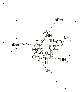 CCCCCCCCCCCCCCCC(=O)NCCSC[C@H](NC(=O)CCCCCCCCCCCCCCC)C(=O)N[C@H](CO)C(=O)N[C@@H](CCCCN)C(=O)N[C@@H](CCCCN)C(=O)N[C@@H](CCCCN)C(=O)N[C@@H](CCCCN)C(=O)O